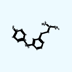 CN(C)CCc1cc[c]c(Nc2ccc(F)cc2)c1